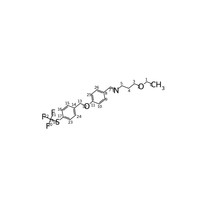 CCOCCCN=Cc1ccc(OCc2ccc(SC(F)(F)F)cc2)cc1